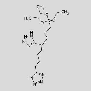 CCO[Si](CCCC(CCCCc1nnn[nH]1)c1nnn[nH]1)(OCC)OCC